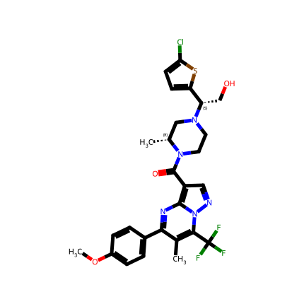 COc1ccc(-c2nc3c(C(=O)N4CCN([C@@H](CO)c5ccc(Cl)s5)C[C@H]4C)cnn3c(C(F)(F)F)c2C)cc1